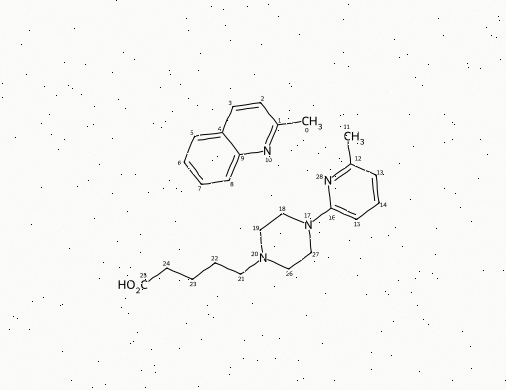 Cc1ccc2ccccc2n1.Cc1cccc(N2CCN(CCCCC(=O)O)CC2)n1